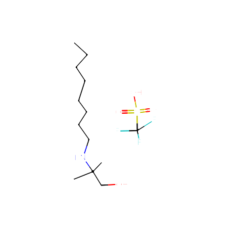 CCCCCCCCNC(C)(C)CO.O=S(=O)(O)C(F)(F)F